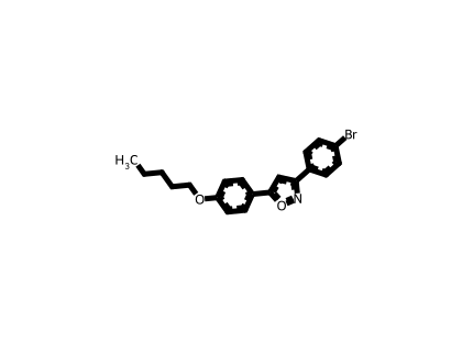 CCCCCOc1ccc(-c2cc(-c3ccc(Br)cc3)no2)cc1